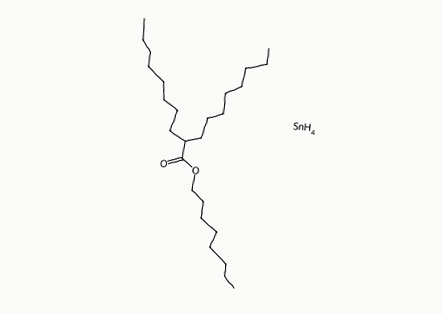 CCCCCCCCOC(=O)C(CCCCCCCC)CCCCCCCC.[SnH4]